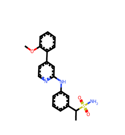 COc1ccccc1-c1ccnc(Nc2cccc(C(C)S(N)(=O)=O)c2)c1